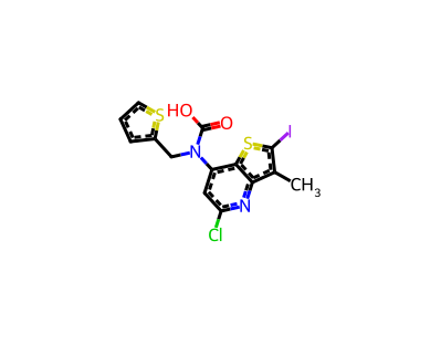 Cc1c(I)sc2c(N(Cc3cccs3)C(=O)O)cc(Cl)nc12